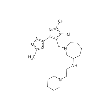 Cc1cc(-c2nn(C)c(Cl)c2CN2CCCCC(NCCN3CCCCC3)C2)no1